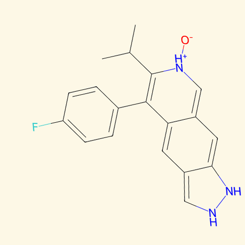 CC(C)C1=C(c2ccc(F)cc2)c2cc3c(cc2=C[NH+]1[O-])NNC=3